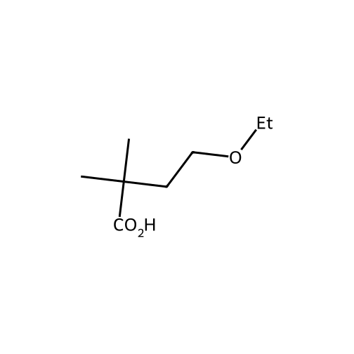 CCOCCC(C)(C)C(=O)O